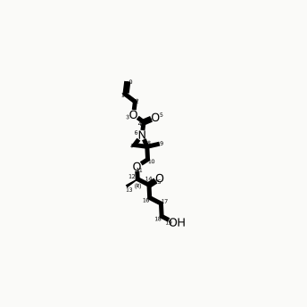 C=CCOC(=O)N1CC1(C)CO[C@H](C)C(=O)CCCO